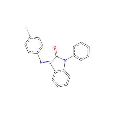 O=C1/C(=N\c2ccc(F)cc2)c2ccccc2N1c1ccccc1